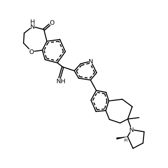 C[C@@H]1CCCN1C1(C)CCc2ccc(-c3cncc(C(=N)c4ccc5c(c4)OCCNC5=O)c3)cc2CC1